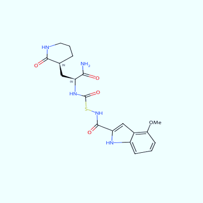 COc1cccc2[nH]c(C(=O)NSC(=O)N[C@@H](C[C@@H]3CCCNC3=O)C(N)=O)cc12